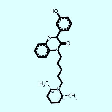 C[C@@H]1CCC[C@H](C)N1CCCCCN1C(=O)C(c2cccc(O)c2)Sc2ccccc21